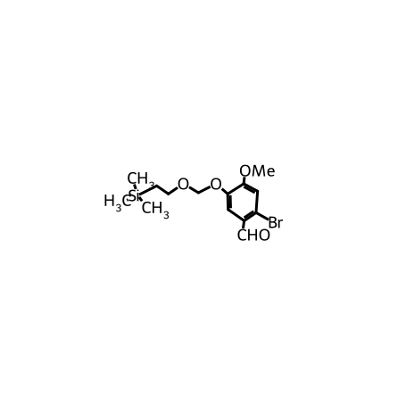 COc1cc(Br)c(C=O)cc1OCOCC[Si](C)(C)C